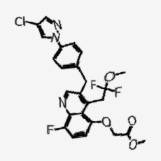 COC(=O)COc1ccc(F)c2ncc(Cc3ccc(-n4cc(Cl)cn4)cc3)c(CC(F)(F)OC)c12